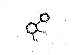 Nc1cccc(-n2cccn2)c1N